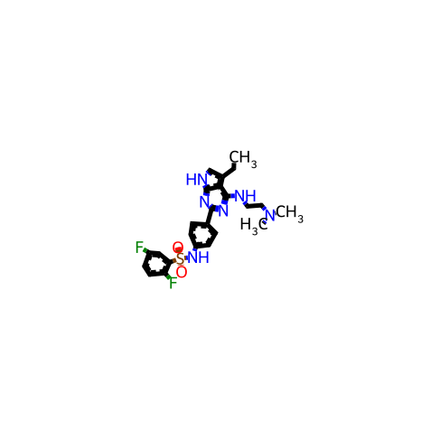 CCc1c[nH]c2nc(-c3ccc(NS(=O)(=O)c4cc(F)ccc4F)cc3)nc(NCCN(C)C)c12